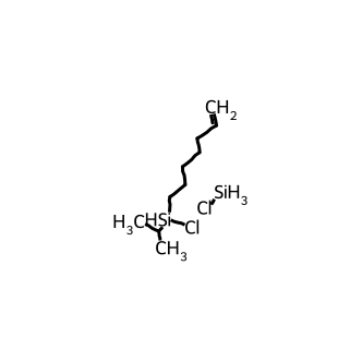 C=CCCCCC[SiH](Cl)C(C)C.[SiH3]Cl